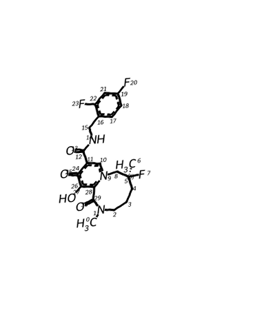 CN1CCC[C@](C)(F)Cn2cc(C(=O)NCc3ccc(F)cc3F)c(=O)c(O)c2C1=O